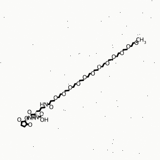 COCCOCCOCCOCCOCCOCCOCCOCCOCCOCCOCCOCCC(=O)NCCCC[C@H](NC(=O)O)C(=O)NOC1C(=O)CCC1=O